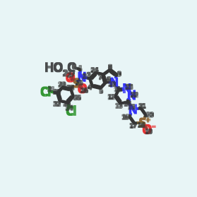 O=C(O)CN(c1ccc2c(ccn2-c2ccc(N3CC[S+]([O-])CC3)nn2)c1)S(=O)(=O)c1cc(Cl)cc(Cl)c1